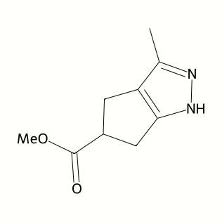 COC(=O)C1Cc2[nH]nc(C)c2C1